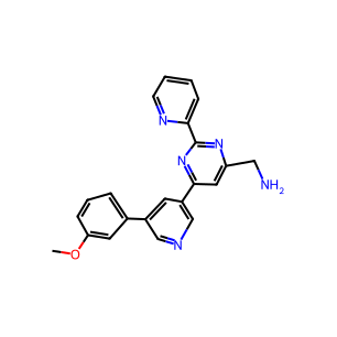 COc1cccc(-c2cncc(-c3cc(CN)nc(-c4ccccn4)n3)c2)c1